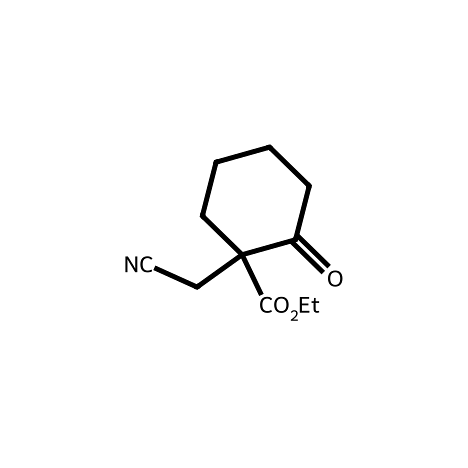 CCOC(=O)C1(CC#N)CCCCC1=O